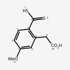 COc1ccc(C(=S)S)c(CC(=O)O)c1